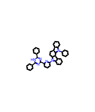 c1ccc(C2=NC(c3cccc(-n4c5ccccc5c5c4ccc4c6ccccc6n(-c6ccccc6)c45)n3)=NC(c3ccccc3)N2)cc1